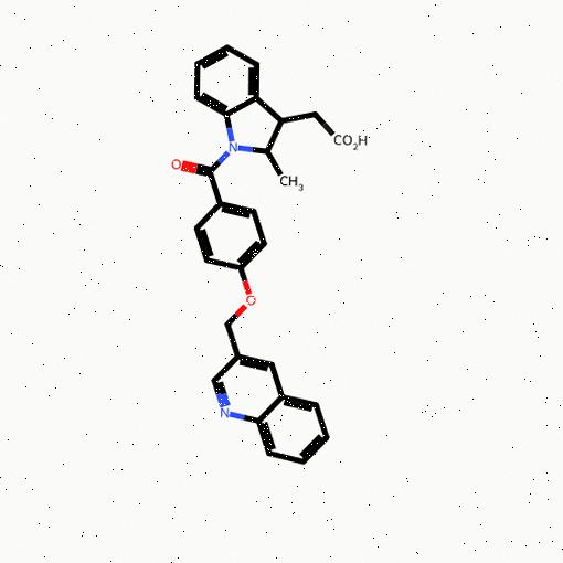 CC1C(CC(=O)O)c2ccccc2N1C(=O)c1ccc(OCc2cnc3ccccc3c2)cc1